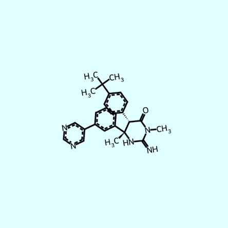 CN1C(=N)N[C@](C)(c2cccc(-c3cncnc3)c2)[C@H](c2ccc(C(C)(C)C)cc2)C1=O